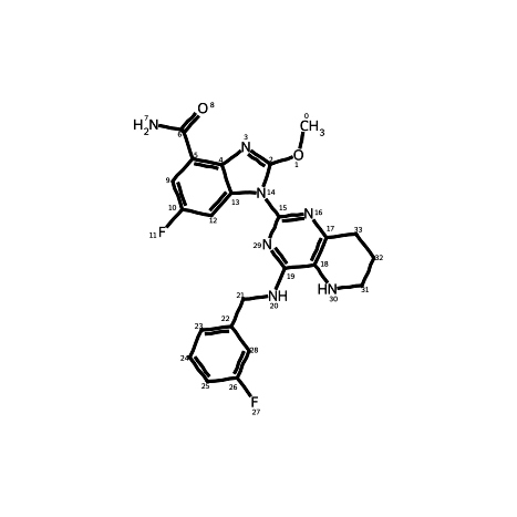 COc1nc2c(C(N)=O)cc(F)cc2n1-c1nc2c(c(NCc3cccc(F)c3)n1)NCCC2